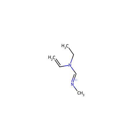 C=CN(/C=N/C)CC